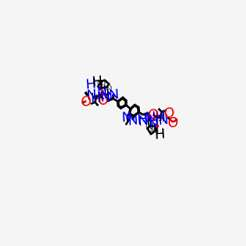 C=C(N[C@H](C(=O)N1C[C@@H]2CC[C@@]1(c1nc(-c3ccc(-c4ccc(-c5c[nH]c([C@@]67CC[C@@H](CN6C(=O)[C@@H](NC(=O)OC)C(C)C)C7)n5)c5[nH]c(C)nc45)cc3)c[nH]1)C2)C(C)C)OC